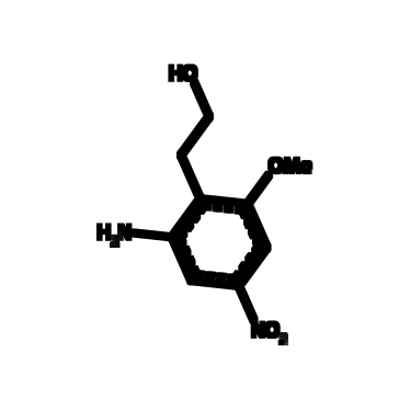 COc1cc([N+](=O)[O-])cc(N)c1CCO